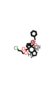 CC(C)C1=CC2CC3(C#N)[C@@H]4CC[C@@H](C)[C@H]4CC2(C2OCC(CCl)O2)C13C(=O)OCc1ccccc1